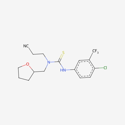 N#CCCN(CC1CCCO1)C(=S)Nc1ccc(Cl)c(C(F)(F)F)c1